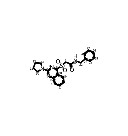 O=C(CS(=O)(=O)c1nc(N2CCCC2)nc2ccccc12)NCc1ccccc1